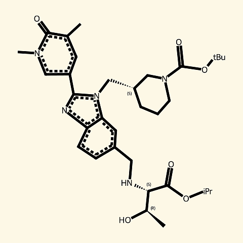 Cc1cc(-c2nc3ccc(CN[C@H](C(=O)OC(C)C)[C@@H](C)O)cc3n2C[C@H]2CCCN(C(=O)OC(C)(C)C)C2)cn(C)c1=O